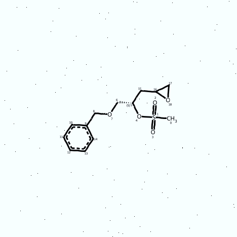 CS(=O)(=O)O[C@H](COCc1ccccc1)CC1CO1